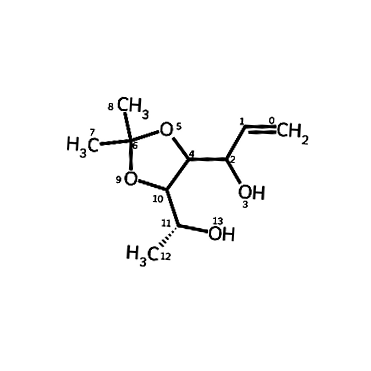 C=CC(O)C1OC(C)(C)OC1[C@@H](C)O